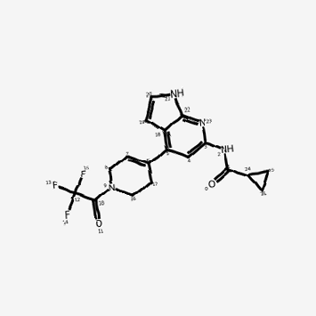 O=C(Nc1cc(C2=CCN(C(=O)C(F)(F)F)CC2)c2cc[nH]c2n1)C1CC1